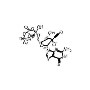 Nc1nc2c(ncn2[C@@H]2O[C@H](COP(=O)(O)OP(=O)(O)OP(=O)(O)O)[C@H](O)C2(Cl)C#CCl)c(=S)[nH]1